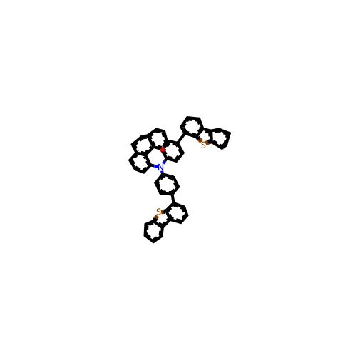 c1ccc2c(c1)ccc1cccc(N(c3ccc(-c4cccc5c4sc4ccccc45)cc3)c3ccc(-c4cccc5c4sc4ccccc45)cc3)c12